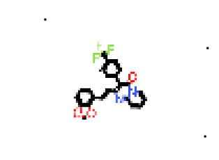 O=c1c(-c2ccc(C(F)(F)F)cc2)c(C=Cc2cccc3c2OCO3)nc2ccccn12